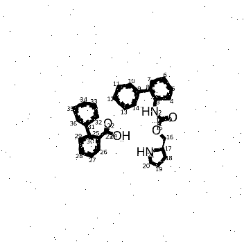 O=C(Nc1ccccc1-c1ccccc1)OC[C@H]1CCCN1.O=C(O)c1ccccc1-c1ccccc1